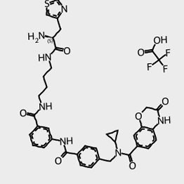 N[C@@H](Cc1cscn1)C(=O)NCCCCNC(=O)c1cccc(NC(=O)c2ccc(CN(C(=O)c3ccc4c(c3)OCC(=O)N4)C3CC3)cc2)c1.O=C(O)C(F)(F)F